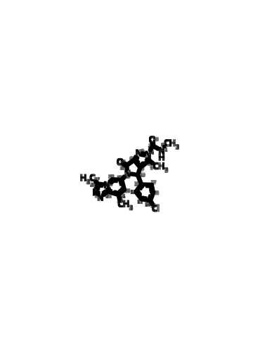 CNC(=O)n1nc2c(c1C)C(c1ccc(Cl)cc1)N(c1cc(C)c3nnc(C)n3c1)C2=O